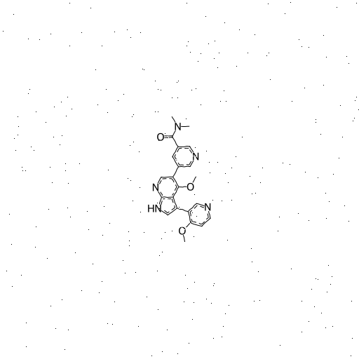 COc1ccncc1-c1c[nH]c2ncc(-c3cncc(C(=O)N(C)C)c3)c(OC)c12